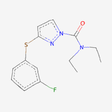 CCN(CC)C(=O)n1ccc(Sc2cccc(F)c2)n1